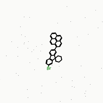 Brc1ccc2c(c1)C1(CCCCC1)c1cc(-c3ccc4ccc5cccc6ccc3c4c56)ccc1-2